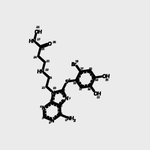 Nc1ncnc2c1nc(Sc1cc(O)c(O)cc1Br)n2CCNCCC(=O)NO